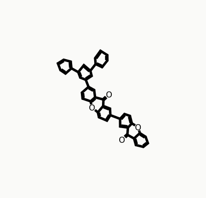 O=c1c2ccccc2oc2ccc(-c3ccc4oc5ccc(-c6cc(-c7ccccc7)cc(-c7ccccc7)c6)cc5c(=O)c4c3)cc12